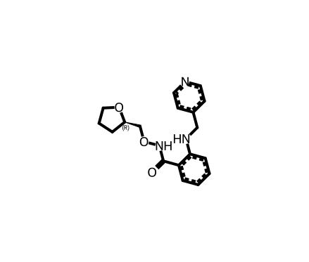 O=C(NOC[C@H]1CCCO1)c1ccccc1NCc1ccncc1